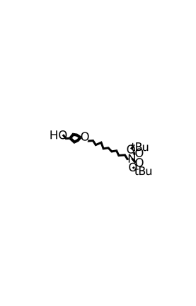 CC(C)(C)OC(=O)N(CCCCCCCCCCCOc1ccc(CO)cc1)C(=O)OC(C)(C)C